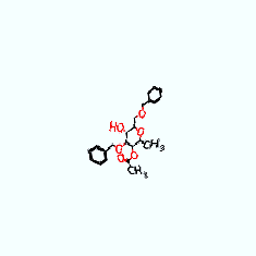 CC(=O)OC1C(OCc2ccccc2)[C@H](O)C(COCc2ccccc2)O[C@H]1C